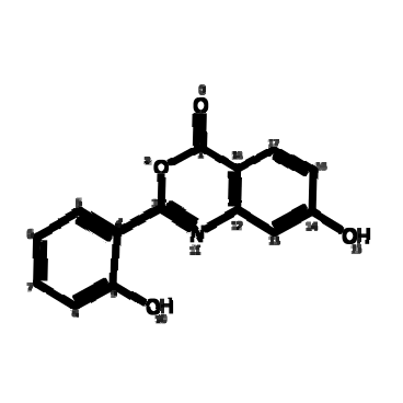 O=c1oc(-c2ccccc2O)nc2cc(O)ccc12